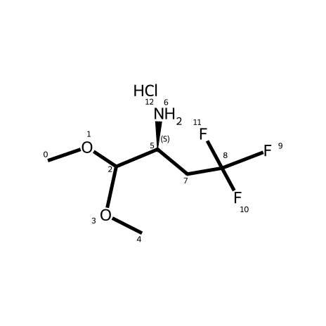 COC(OC)[C@@H](N)CC(F)(F)F.Cl